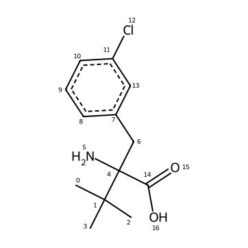 CC(C)(C)C(N)(Cc1cccc(Cl)c1)C(=O)O